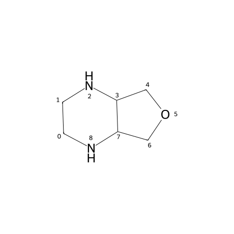 C1CNC2COCC2N1